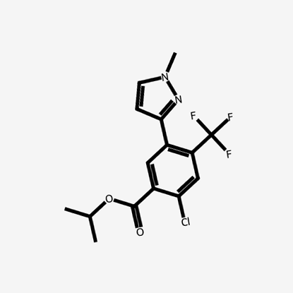 CC(C)OC(=O)c1cc(-c2ccn(C)n2)c(C(F)(F)F)cc1Cl